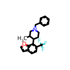 CC1CN(Cc2ccccc2)CCC1c1c(C(F)(F)F)ccc2ccoc12